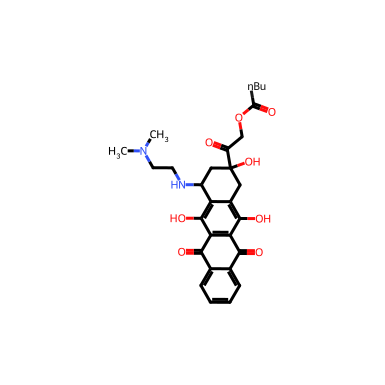 CCCCC(=O)OCC(=O)C1(O)Cc2c(O)c3c(c(O)c2C(NCCN(C)C)C1)C(=O)c1ccccc1C3=O